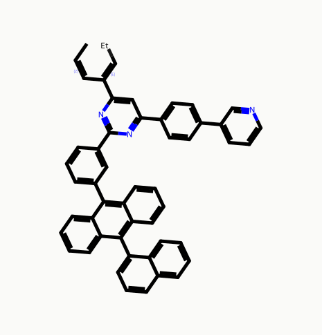 C/C=C\C(=C/CC)c1cc(-c2ccc(-c3cccnc3)cc2)nc(-c2cccc(-c3c4ccccc4c(-c4cccc5ccccc45)c4ccccc34)c2)n1